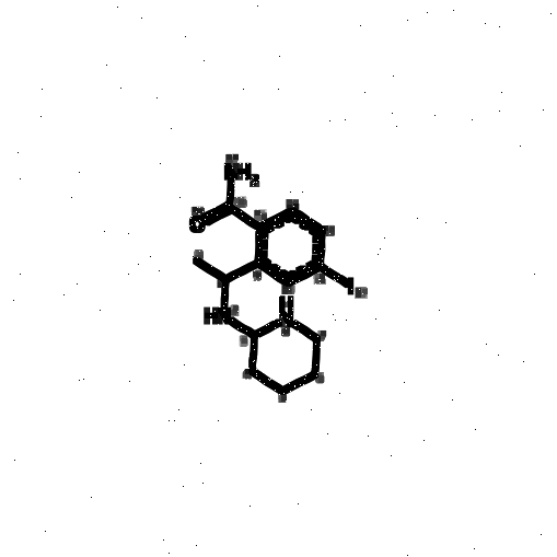 CC(NC1CCCCN1)c1cc(I)ccc1C(N)=O